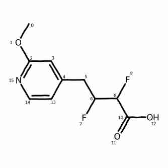 COc1cc(CC(F)C(F)C(=O)O)ccn1